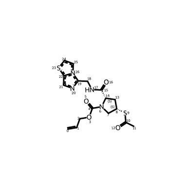 C=CCOC(=O)N1C[C@@H](SC(C)=O)C[C@H]1C(=O)NCc1ncc2sccn12